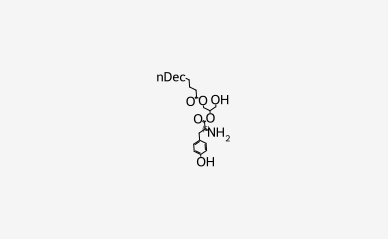 CCCCCCCCCCCCCC(=O)OCC(CO)OC(=O)[C@@H](N)Cc1ccc(O)cc1